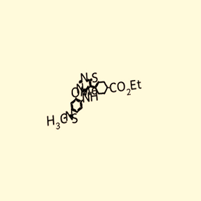 CCOC(=O)[C@H]1CCc2c(sc3ncnc(Nc4cc5sn(C)c5cc4OC)c23)C1